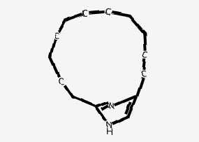 c1[nH]c2nc1CCCCCCCCCCC2